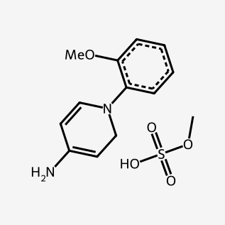 COS(=O)(=O)O.COc1ccccc1N1C=CC(N)=CC1